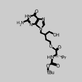 CC(C)[C@H](NC(=O)OC(C)(C)C)C(=O)OCCC(CO)Cn1cnc2c(=O)[nH]c(N)nc21